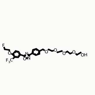 OCCOCCOCCOCCOCc1ccc(-c2noc(-c3ccc(OCCF)c(C(F)(F)F)c3)n2)cc1